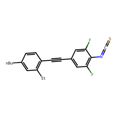 CCCCc1ccc(C#Cc2cc(F)c(N=C=S)c(F)c2)c(CC)c1